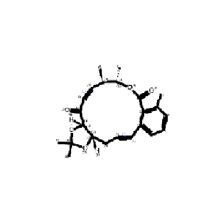 Cc1cccc2c1C(=O)O[C@@H](C)[C@H](C)/C=C\C(=O)[C@H]1OC(C)(C)O[C@H]1C/C=C/2